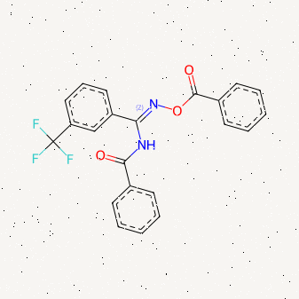 O=C(N/C(=N\OC(=O)c1ccccc1)c1cccc(C(F)(F)F)c1)c1ccccc1